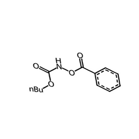 CCCCOC(=O)NOC(=O)c1ccccc1